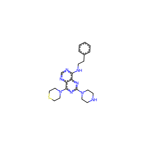 c1ccc(CCNc2ncnc3c(N4CCSCC4)nc(N4CCNCC4)nc23)cc1